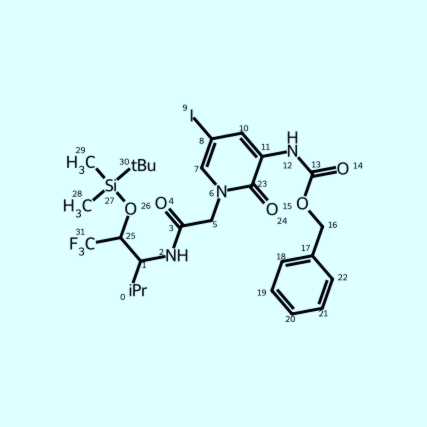 CC(C)C(NC(=O)Cn1cc(I)cc(NC(=O)OCc2ccccc2)c1=O)C(O[Si](C)(C)C(C)(C)C)C(F)(F)F